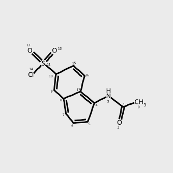 CC(=O)Nc1cccc2cc(S(=O)(=O)Cl)ccc12